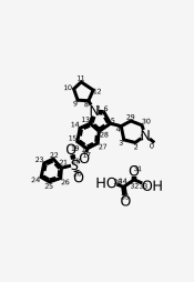 CN1CCC(c2cn(C3CCCC3)c3ccc(OS(=O)(=O)c4ccccc4)cc23)CC1.O=C(O)C(=O)O